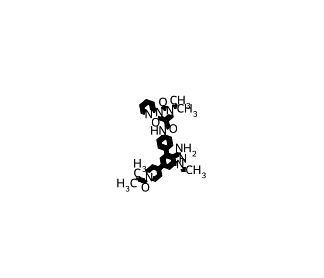 CCn1nc(N)c2c(-c3ccc(NC(=O)c4cn(C(C)C)c(=O)n(-c5ccccn5)c4=O)cc3)cc(C3CCN(C(=O)C(C)C)CC3)cc21